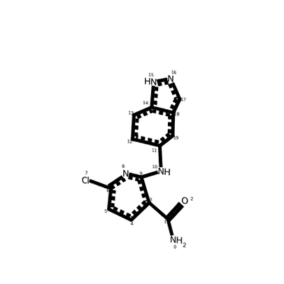 NC(=O)c1ccc(Cl)nc1Nc1ccc2[nH]ncc2c1